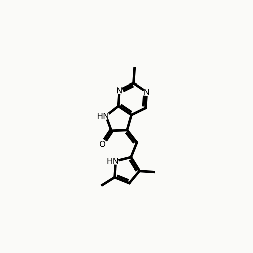 Cc1ncc2c(n1)NC(=O)C2=Cc1[nH]c(C)cc1C